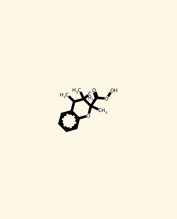 CC1c2ccccc2OC(C)(C(=O)OO)C1(C)C